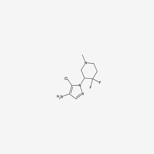 CN1CCC(F)(F)C(n2ncc(N)c2Cl)C1